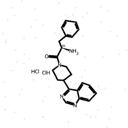 Cl.Cl.N[C@H](Cc1ccccc1)C(=O)N1CCC(c2ncnc3ccccc23)CC1